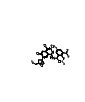 C[C@@H](Nc1nn(C)c(=O)c2cc(=O)n(C34COC(CF)(C3)C4)cc12)c1cccc(C(F)F)c1F